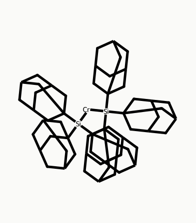 C1C2CC3CC1CC([Si]([Cr][Si](C14CC5CC(CC(C5)C1)C4)(C14CC5CC(CC(C5)C1)C4)C14CC5CC(CC(C5)C1)C4)(C14CC5CC(CC(C5)C1)C4)C14CC5CC(CC(C5)C1)C4)(C2)C3